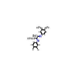 CCCCCCC(C=Nc1ccc(CCC)c(CCC)c1)=Nc1ccc(C)c(C)c1.[Pd]